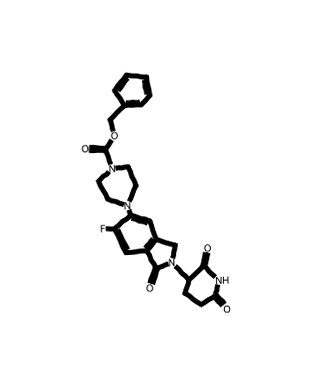 O=C1CCC(N2Cc3cc(N4CCN(C(=O)OCc5ccccc5)CC4)c(F)cc3C2=O)C(=O)N1